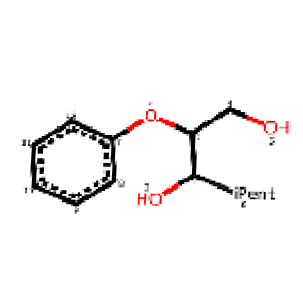 CCCC(C)C(O)C(CO)Oc1ccccc1